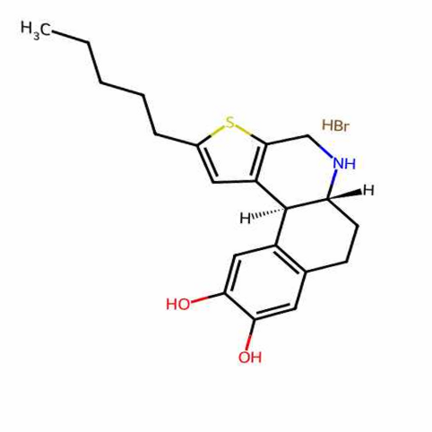 Br.CCCCCc1cc2c(s1)CN[C@@H]1CCc3cc(O)c(O)cc3[C@@H]21